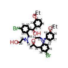 CCOc1cccc(C(O)c2ccc(Br)cc2CN(C)CCO)c1.CCOc1cccc(N2CCOC(C)Cc3cc(Br)ccc32)c1